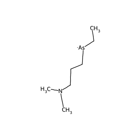 CC[As]CCCN(C)C